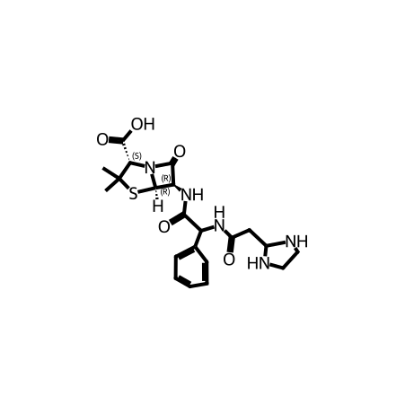 CC1(C)S[C@@H]2[C@H](NC(=O)C(NC(=O)CC3NCCN3)c3ccccc3)C(=O)N2[C@H]1C(=O)O